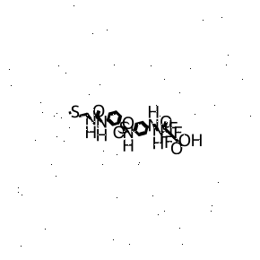 CSCCNC(=O)Nc1cccc(S(=O)(=O)Nc2ccc(NNC(=O)C(F)(F)C(F)(F)C(=O)O)cc2)c1